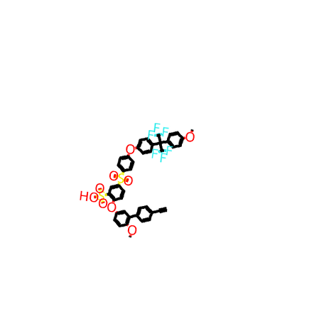 C#Cc1ccc(-c2cc(Oc3ccc(S(=O)(=O)c4ccc(Oc5ccc(C(c6ccc(OC)cc6)(C(F)(F)F)C(F)(F)F)cc5)cc4)cc3S(=O)(=O)O)ccc2OC)cc1